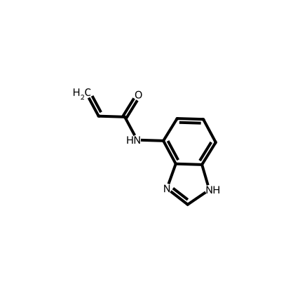 C=CC(=O)Nc1cccc2[nH]cnc12